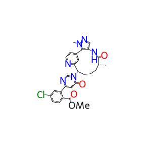 COC(=O)c1ccc(Cl)cc1-c1cc(=O)n([C@H]2CCC[C@@H](C)C(=O)Nc3cnn(C)c3-c3ccnc2c3)cn1